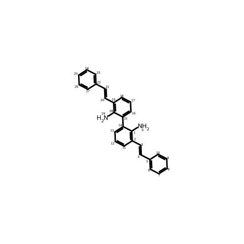 Nc1c(/C=C/c2ccccc2)cccc1-c1cccc(/C=C/c2ccccc2)c1N